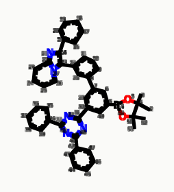 CC1(C)OB(c2cc(-c3cccc(-c4c(-c5ccccc5)nc5ccccn45)c3)cc(-c3nc(-c4ccccc4)nc(-c4ccccc4)n3)c2)OC1(C)C